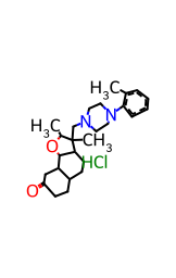 Cc1ccccc1N1CCN(CC2(C)C(C)OC3C4CC(=O)CCC4CCC32)CC1.Cl